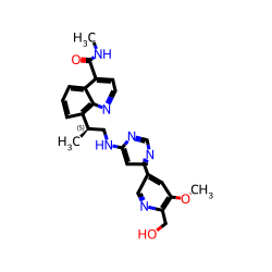 CNC(=O)c1ccnc2c([C@H](C)CNc3cc(-c4cnc(CO)c(OC)c4)ncn3)cccc12